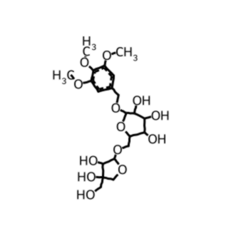 COc1cc(COC2OC(COC3OCC(O)(CO)C3O)C(O)C(O)C2O)cc(OC)c1OC